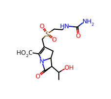 CC(O)C1C(=O)N2C(C(=O)O)=C(CS(=O)(=O)CCNC(N)=O)CC12